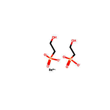 O=P([O-])([O-])CCO.O=P([O-])([O-])CCO.[Re+4]